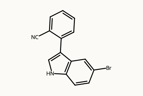 N#Cc1ccccc1-c1c[nH]c2ccc(Br)cc12